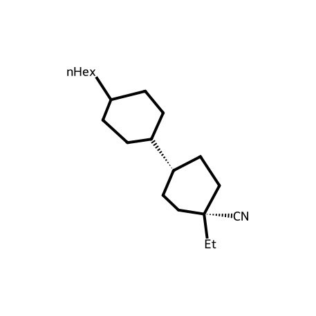 CCCCCCC1CCC([C@H]2CC[C@](C#N)(CC)CC2)CC1